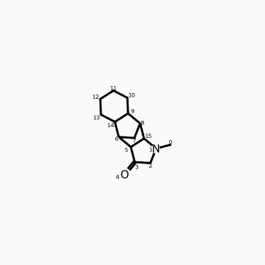 CN1CC(=O)C2C3CC(C4CCCCC43)C21